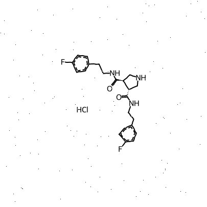 Cl.O=C(NCCc1ccc(F)cc1)[C@H]1CNC[C@@H]1C(=O)NCCc1ccc(F)cc1